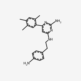 Cc1cc(C)c(-c2cc(NCCc3ccc(N)cc3)nc(N)n2)cc1C